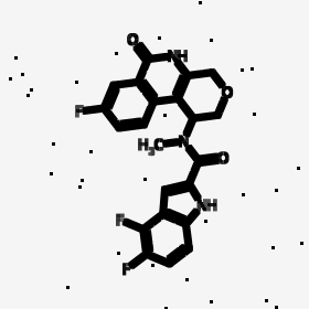 CN(C(=O)c1cc2c(F)c(F)ccc2[nH]1)C1COCc2[nH]c(=O)c3cc(F)ccc3c21